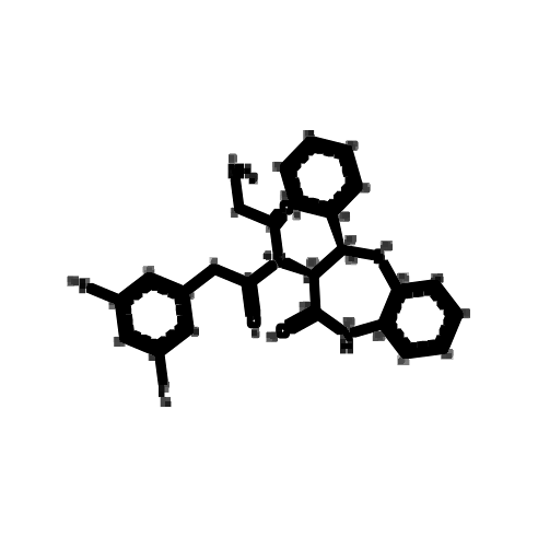 NCC(=O)N(C(=O)Cc1cc(F)cc(F)c1)[C@@H]1C(=O)Nc2ccccc2S[C@@H]1c1ccccc1